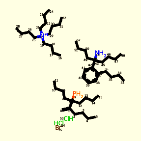 C=C(CCCC)C(P)(CCCC)CCCC.CCCC[N+](CCCC)(CCCC)CCCC.CCCCc1ccccc1C(N)(CCCC)CCCC.Cl.Cl.[Br-]